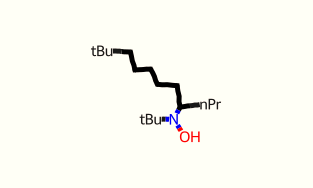 CCCC(CCCCCC(C)(C)C)N(O)C(C)(C)C